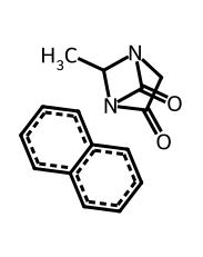 CC1N2CC(=O)N1C2=O.c1ccc2ccccc2c1